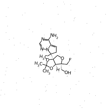 CC1(C)O[C@@H]2[C@](CO)(CF)OC[C@]2(C2(C)CC=C3C(N)=NC=NN32)O1